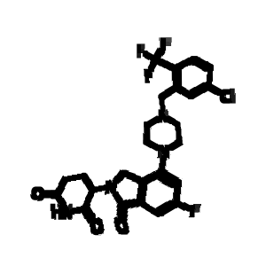 O=C1CCC(N2Cc3c(cc(F)cc3N3CCN(Cc4cc(Cl)ccc4C(F)(F)F)CC3)C2=O)C(=O)N1